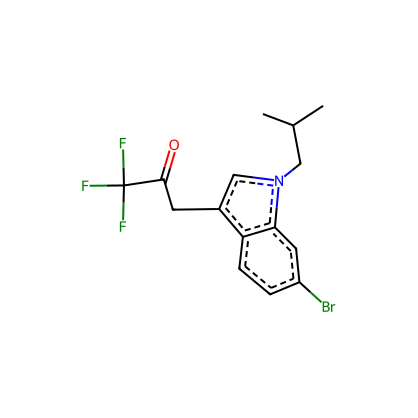 CC(C)Cn1cc(CC(=O)C(F)(F)F)c2ccc(Br)cc21